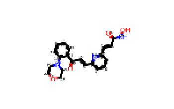 O=C(C=Cc1cccc(C=CC(=O)c2ccccc2N2CCOCC2)n1)NO